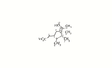 CCCC[C@](C)(C(C)CC)[C@@H](C)O